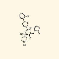 CCN1CCC(C#N)(NC(=O)[C@H](Cc2c(F)cccc2F)NC(=O)c2ccc(-c3ccccc3Cl)cc2)CC1